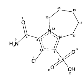 NC(=O)c1c(Cl)c(S(=O)(=O)O)c2n1CCCCC2